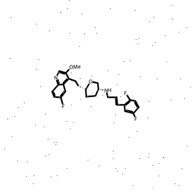 COc1cnc2ccc(F)cc2c1CC[C@H]1CC[C@@H](NCC=Cc2cc(F)ccc2F)CO1